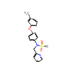 CCS(=O)(=O)N(Cc1ccccn1)c1ccc(Oc2cccc(C(F)(F)F)c2)cc1